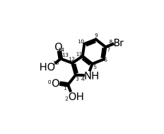 O=C(O)c1[nH]c2cc(Br)ccc2c1C(=O)O